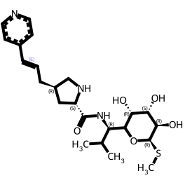 CS[C@H]1OC([C@H](NC(=O)[C@@H]2C[C@@H](C/C=C/c3ccncc3)CN2)C(C)C)[C@H](O)[C@H](O)[C@H]1O